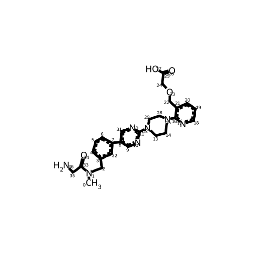 CN(Cc1cccc(-c2cnc(N3CCN(c4ncccc4COCC(=O)O)CC3)nc2)c1)C(=O)CN